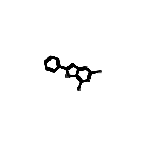 CC(C)c1nc(Cl)c2[nH]c(-c3ccccc3)cc2n1